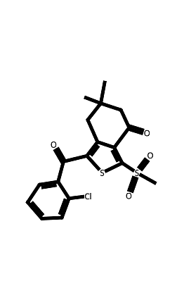 CC1(C)CC(=O)c2c(S(C)(=O)=O)sc(C(=O)c3ccccc3Cl)c2C1